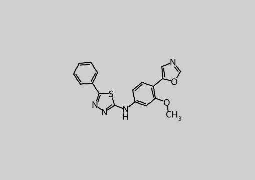 COc1cc(Nc2nnc(-c3ccccc3)s2)ccc1-c1cnco1